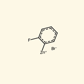 Fc1cccc[c]1[Zn+].[Br-]